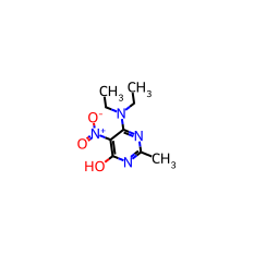 CCN(CC)c1nc(C)nc(O)c1[N+](=O)[O-]